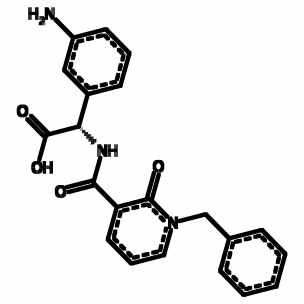 Nc1cccc([C@H](NC(=O)c2cccn(Cc3ccccc3)c2=O)C(=O)O)c1